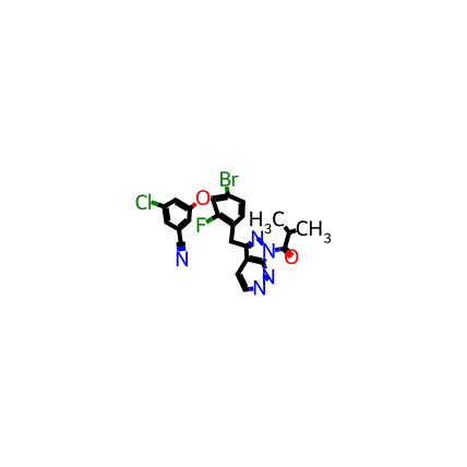 CC(C)C(=O)n1nc(Cc2ccc(Br)c(Oc3cc(Cl)cc(C#N)c3)c2F)c2ccnnc21